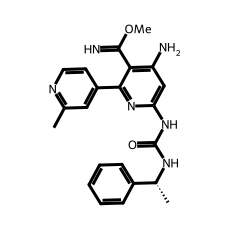 COC(=N)c1c(N)cc(NC(=O)N[C@H](C)c2ccccc2)nc1-c1ccnc(C)c1